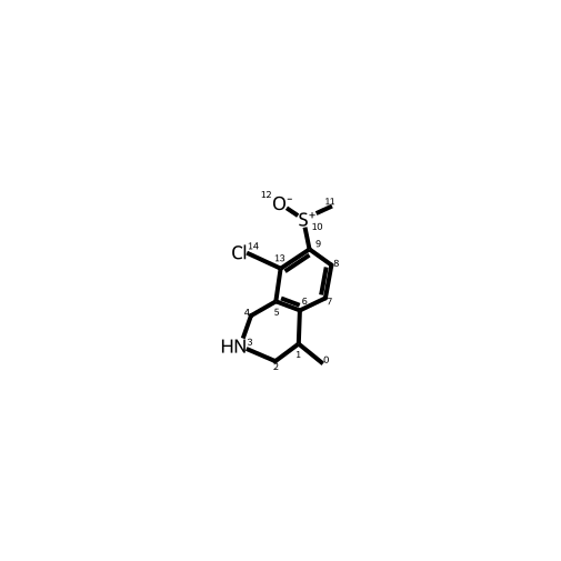 CC1CNCc2c1ccc([S+](C)[O-])c2Cl